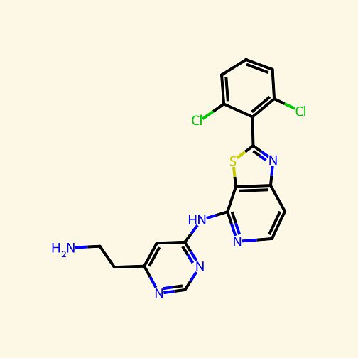 NCCc1cc(Nc2nccc3nc(-c4c(Cl)cccc4Cl)sc23)ncn1